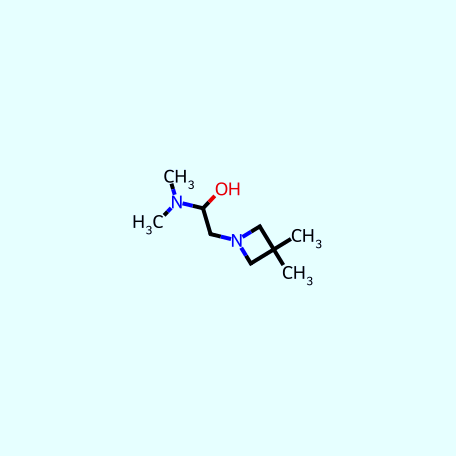 CN(C)C(O)CN1CC(C)(C)C1